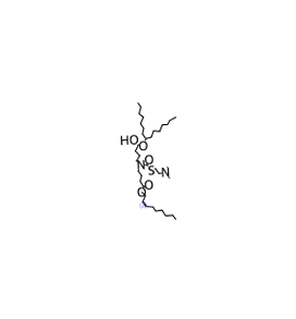 CCCCCC/C=C\COC(=O)CCCN(CCCC(O)OC(CCCCCCC)CCCCCCC)C(=O)SCCN(C)C